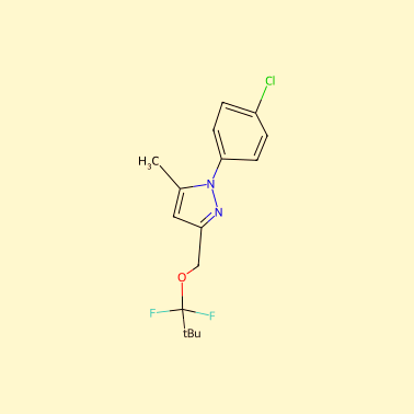 Cc1cc(COC(F)(F)C(C)(C)C)nn1-c1ccc(Cl)cc1